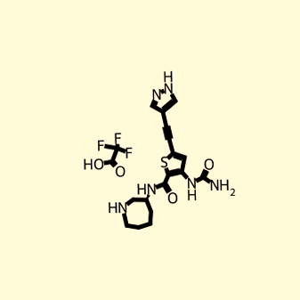 NC(=O)Nc1cc(C#Cc2cn[nH]c2)sc1C(=O)N[C@H]1CCCCNC1.O=C(O)C(F)(F)F